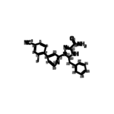 Cc1cc(C#N)ccc1-c1ccnc(N2N=C(C(N)=O)NC2Cc2ccccc2)c1